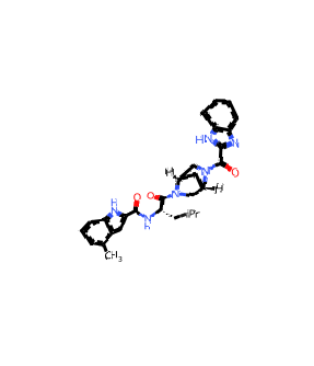 Cc1cccc2[nH]c(C(=O)N[C@@H](CC(C)C)C(=O)N3C[C@@H]4C[C@H]3CN4C(=O)c3nc4ccccc4[nH]3)cc12